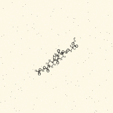 CCOC(=O)C(C)(C)COSON1CC[C@@H](C(=O)NC2CCN(C(=O)OCOC(C)=O)CC2)N(C)C1=O